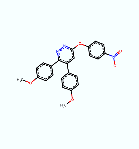 COc1ccc(-c2cc(Oc3ccc([N+](=O)[O-])cc3)nnc2-c2ccc(OC)cc2)cc1